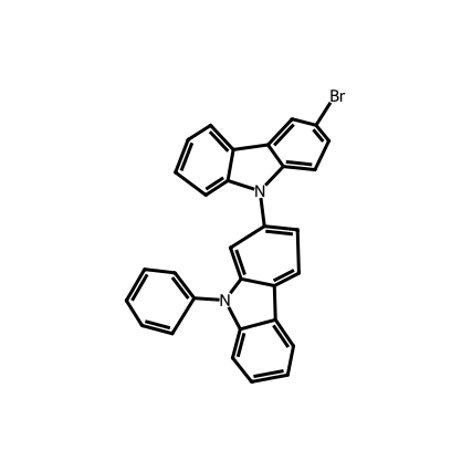 Brc1ccc2c(c1)c1ccccc1n2-c1ccc2c3ccccc3n(-c3ccccc3)c2c1